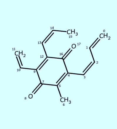 C=C/C=C\C1=C(C)C(=O)C(C=C)=C(/C=C\C)C1=O